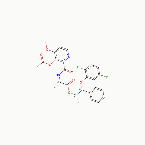 COc1ccnc(C(=O)N[C@@H](C)C(=O)O[C@@H](C)[C@H](Oc2cc(F)ccc2F)c2ccccc2)c1OC(C)=O